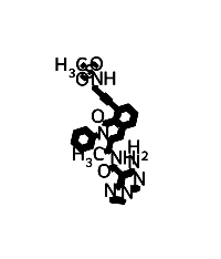 CC(NC(=O)c1c(N)ncn2ccnc12)c1cc2cccc(C#CCNS(C)(=O)=O)c2c(=O)n1-c1ccccc1